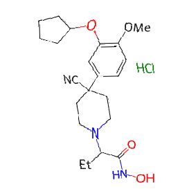 CCC(C(=O)NO)N1CCC(C#N)(c2ccc(OC)c(OC3CCCC3)c2)CC1.Cl